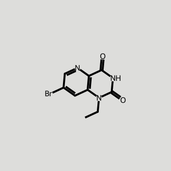 CCn1c(=O)[nH]c(=O)c2ncc(Br)cc21